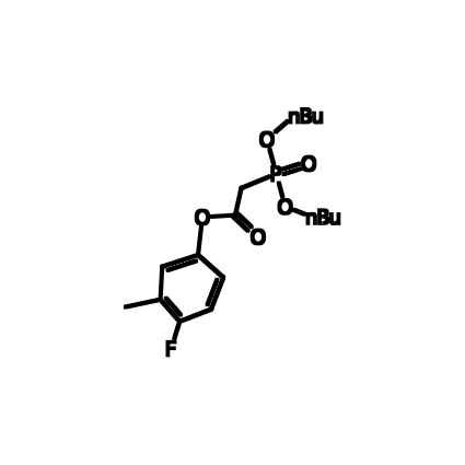 CCCCOP(=O)(CC(=O)Oc1ccc(F)c(C)c1)OCCCC